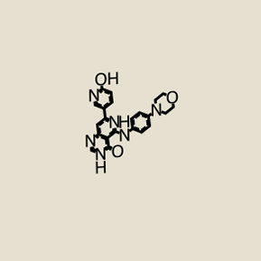 O=c1[nH]cnc2cc(-c3ccc(O)nc3)nc(Nc3ccc(N4CCOCC4)cc3)c12